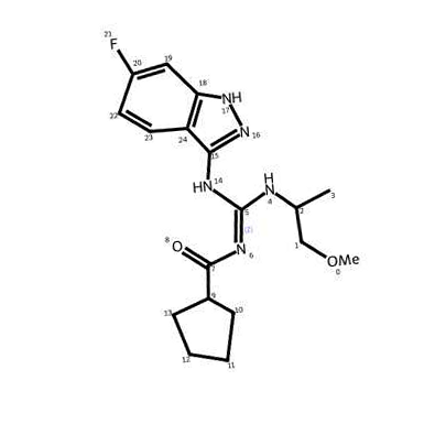 COCC(C)N/C(=N/C(=O)C1CCCC1)Nc1n[nH]c2cc(F)ccc12